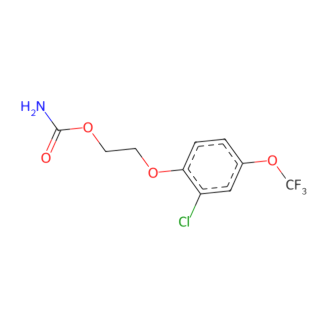 NC(=O)OCCOc1ccc(OC(F)(F)F)cc1Cl